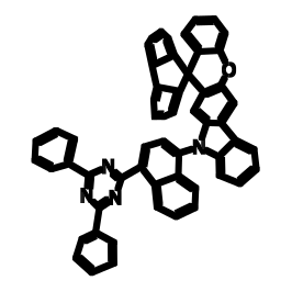 c1ccc(-c2nc(-c3ccccc3)nc(-c3ccc(-n4c5ccccc5c5cc6c(cc54)C4(c5ccccc5O6)c5ccccc5-c5ccccc54)c4ccccc34)n2)cc1